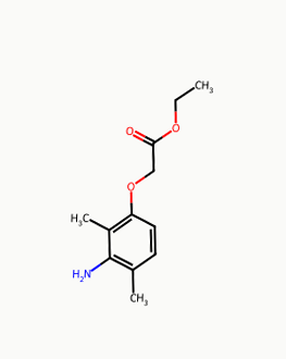 CCOC(=O)COc1ccc(C)c(N)c1C